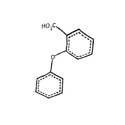 O=C(O)c1ccccc1Oc1c[c]ccc1